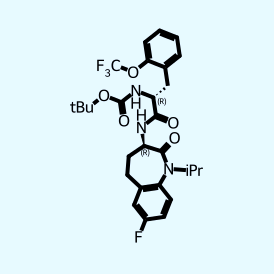 CC(C)N1C(=O)[C@H](NC(=O)[C@@H](Cc2ccccc2OC(F)(F)F)NC(=O)OC(C)(C)C)CCc2cc(F)ccc21